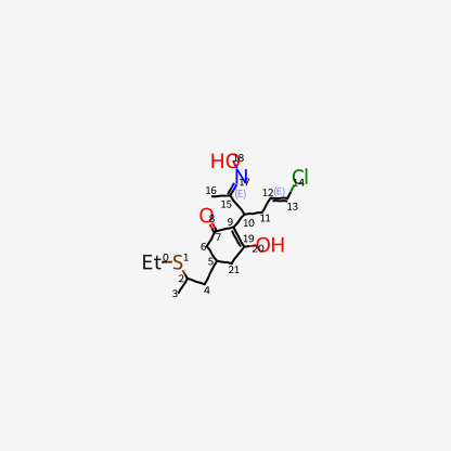 CCSC(C)CC1CC(=O)C(C(C/C=C/Cl)/C(C)=N/O)=C(O)C1